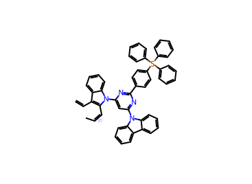 C=Cc1c(/C=C\C)n(-c2cc(-n3c4ccccc4c4ccccc43)nc(-c3ccc(S(c4ccccc4)(c4ccccc4)c4ccccc4)cc3)n2)c2ccccc12